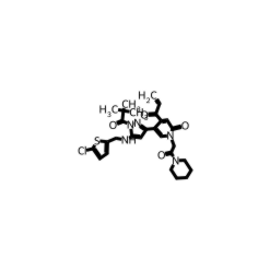 C=CC(=O)c1cc(=O)n(CC(=O)N2CCCCC2)cc1-c1cc(NCc2ccc(Cl)s2)n(C(=O)C(C)(C)C)n1